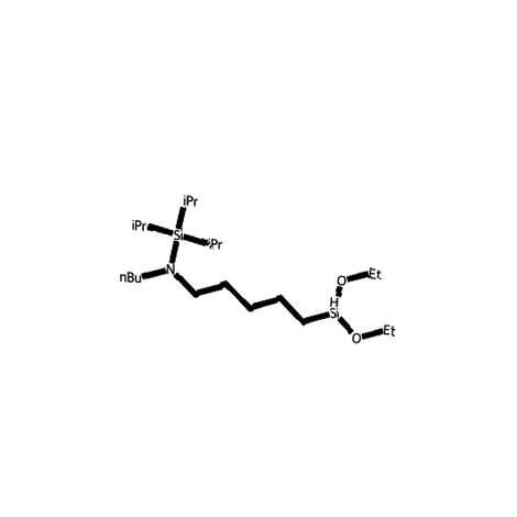 CCCCN(CCCCC[SiH](OCC)OCC)[Si](C(C)C)(C(C)C)C(C)C